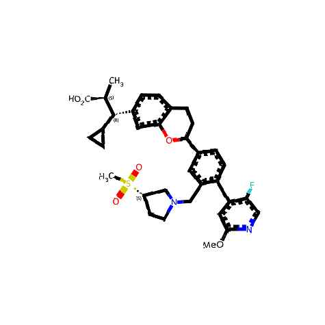 COc1cc(-c2ccc(C3CCc4ccc([C@H](C5CC5)[C@H](C)C(=O)O)cc4O3)cc2CN2CC[C@H](S(C)(=O)=O)C2)c(F)cn1